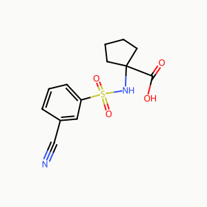 N#Cc1cccc(S(=O)(=O)NC2(C(=O)O)CCCC2)c1